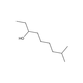 [CH2]CC(O)CCCCC(C)C